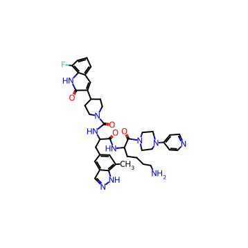 Cc1cc(CC(NC(=O)N2CCC(c3cc4cccc(F)c4[nH]c3=O)CC2)C(=O)NC(CCCCN)C(=O)N2CCN(c3ccncc3)CC2)cc2cn[nH]c12